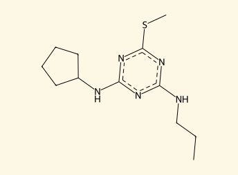 CCCNc1nc(NC2CCCC2)nc(SC)n1